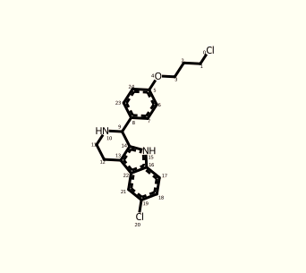 ClCCCOc1ccc(C2NCCc3c2[nH]c2ccc(Cl)cc32)cc1